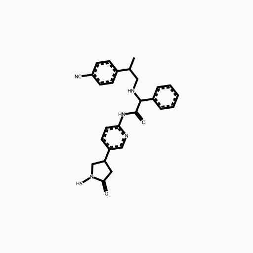 CC(CNC(C(=O)Nc1ccc(C2CC(=O)N(S)C2)cn1)c1ccccc1)c1ccc(C#N)cc1